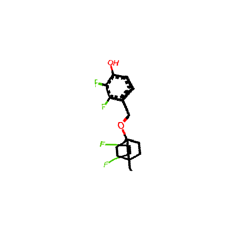 CC12CCC(OCc3ccc(O)c(F)c3F)(CC1)C(F)=C2F